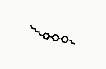 C=CC[C@H]1CC[C@H](C2CCC(c3ccc(COCC=CC)cc3)CC2)CC1